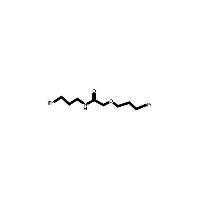 CC(C)CCCNC(=O)COCCCC(C)C